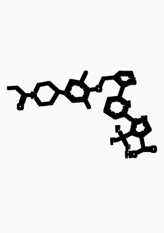 CCC(=O)N1CCC(c2cc(C)c(OCc3ccsc3-c3cccc(-n4ncc(C(=O)O)c4C(F)(F)F)n3)c(C)c2)CC1